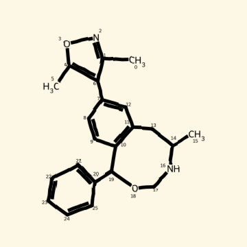 Cc1noc(C)c1-c1ccc2c(c1)CC(C)NCOC2c1ccccc1